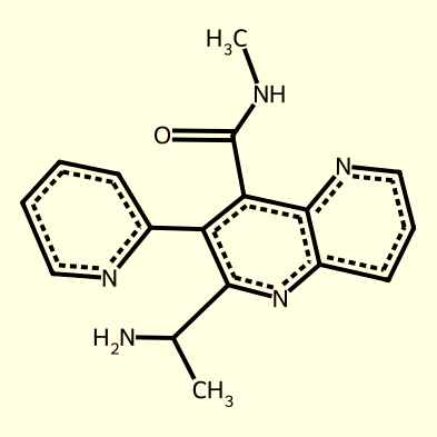 CNC(=O)c1c(-c2ccccn2)c(C(C)N)nc2cccnc12